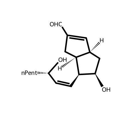 CCCCC[C@H](O)/C=C\[C@H]1[C@H]2CC(C=O)=C[C@H]2C[C@H]1O